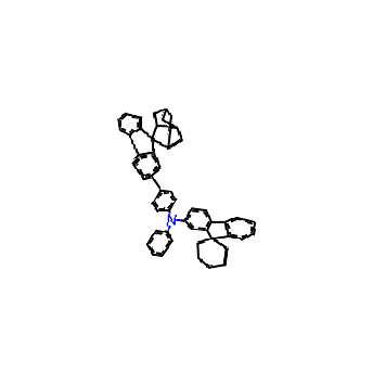 c1ccc(N(c2ccc(-c3ccc4c(c3)C3(c5ccccc5-4)C4CC5CC(C4)C3C5)cc2)c2ccc3c(c2)C2(CCCCC2)c2ccccc2-3)cc1